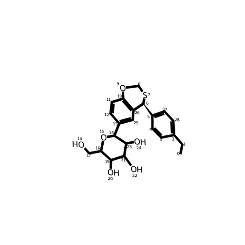 CCc1ccc([C@@H]2SCOc3ccc(C4OC(CO)C(O)C(O)C4O)cc32)cc1